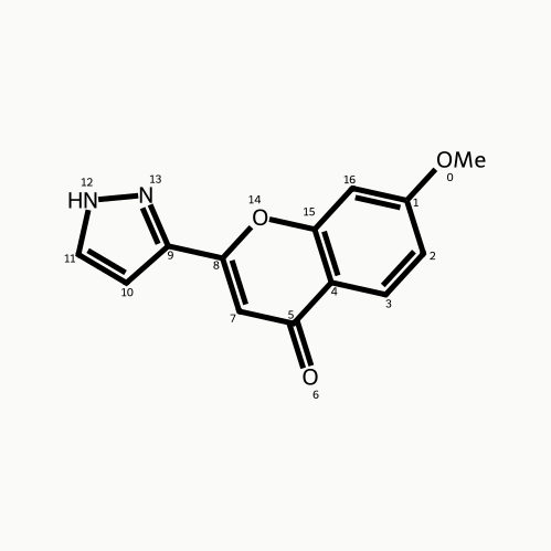 COc1ccc2c(=O)cc(-c3cc[nH]n3)oc2c1